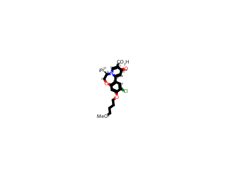 COCCCCOc1cc2c(cc1Cl)-c1cc(=O)c(C(=O)O)cn1[C@H](C(C)C)CO2